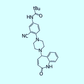 CC(C)(C)C(=O)Nc1ccc(N2CCN(C3C=CC(=O)Nc4ccccc43)CC2)c(C#N)c1